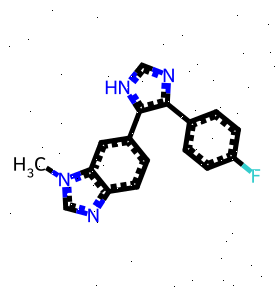 Cn1cnc2ccc(-c3[nH]cnc3-c3ccc(F)cc3)cc21